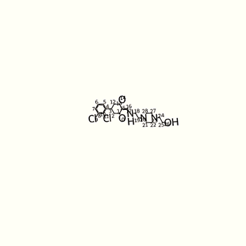 O=C1CC(c2cccc(Cl)c2Cl)CC(=O)C1=CNCCN1CCN(CCO)CC1